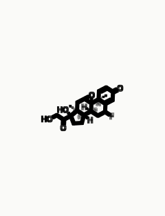 C[C@]12C=CC(=O)C=C1C(F)C[C@H]1[C@@H]3CC[C@](O)(C(=O)CO)[C@@]3(C)CC3O[C@]312